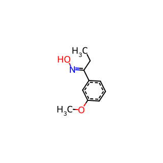 CCC(=NO)c1cccc(OC)c1